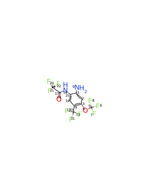 Nc1cc(OC(F)(F)F)c(C(F)(F)F)cc1NC(=O)C(F)(F)F